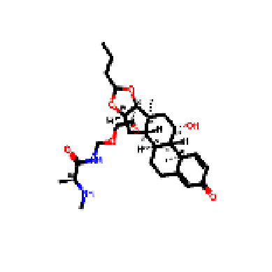 CCCC1O[C@@H]2C[C@H]3[C@@H]4CCC5=CC(=O)C=C[C@]5(C)[C@H]4[C@@H](O)C[C@]3(C)[C@]2(C(=O)COCNC(=O)[C@H](C)NC)O1